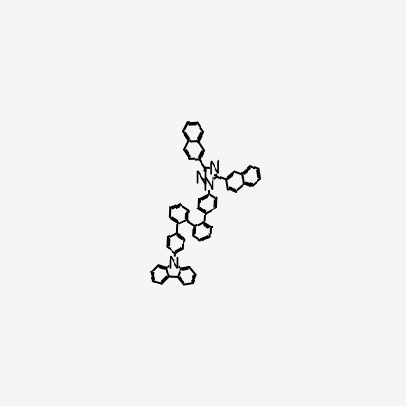 c1ccc(-c2ccccc2-c2ccc(-n3c4ccccc4c4ccccc43)cc2)c(-c2ccc(-n3nc(-c4ccc5ccccc5c4)nc3-c3ccc4ccccc4c3)cc2)c1